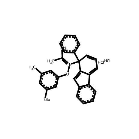 C[C](C)=[Ti]([O]c1cc(C)cc(C(C)(C)C)c1)[C]1(c2ccccc2)C=CC=C2C1=Cc1ccccc12.Cl.Cl